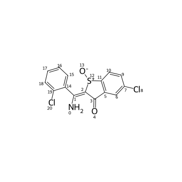 NC(=C1C(=O)c2cc(Cl)ccc2[S+]1[O-])c1ccccc1Cl